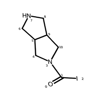 O=C(I)N1CC2CNCC2C1